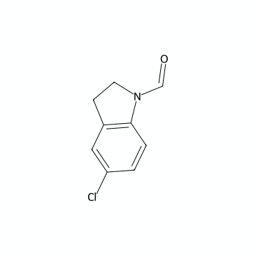 O=CN1CCc2cc(Cl)ccc21